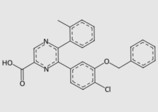 Cc1ccccc1-c1ncc(C(=O)O)nc1-c1ccc(Cl)c(OCc2ccccc2)c1